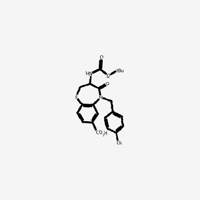 CC(C)(C)OC(=O)NC1CSc2ccc(C(=O)O)cc2N(Cc2ccc(C#N)cc2)C1=O